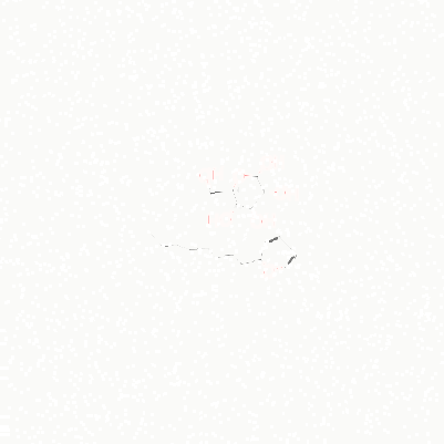 CCCCCCCCC1C=CC=CO1.OC[C@H]1OC(O)[C@H](O)[C@@H](O)[C@@H]1O